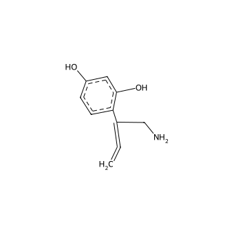 C=C=C(CN)c1ccc(O)cc1O